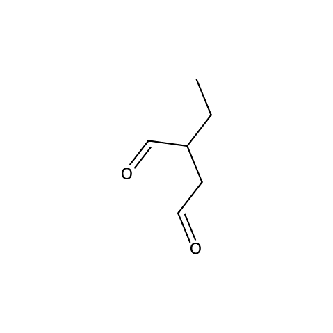 CCC(C=O)CC=O